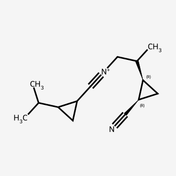 CC(C)C1CC1C#[N+]CC(C)[C@H]1C[C@H]1C#N